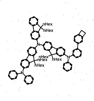 CCCCCCC1(CCCCCC)c2ccccc2-c2ccc(N(c3ccc4c(c3)C(CCCCCC)(CCCCCC)c3cc(N(c5ccccc5)c5ccccc5)ccc3-4)c3ccc4c(c3)C(CCCCCC)(CCCCCC)c3cc(N(c5ccccc5)c5cccc(-c6ccc7c(c6)CC7)c5)ccc3-4)cc21